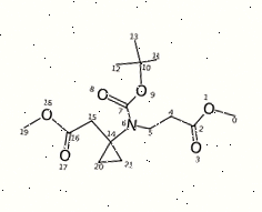 COC(=O)CCN(C(=O)OC(C)(C)C)C1(CC(=O)OC)CC1